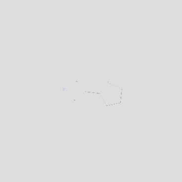 C1CNC(C2CNC2)C1